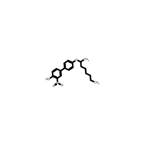 CCCCCCC(C)Oc1ccc(-c2ccc(O)c([N+](=O)[O-])c2)cc1